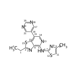 CCc1nc2c(Nc3nc(C)cs3)ncc(-c3cncnc3)c2s1